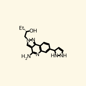 CC[C@H](O)Cn1cc2c(N)nc3cc(C4C=CNN4)ccc3c2n1